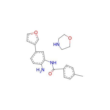 C1COCCN1.Cc1ccc(C(=O)Nc2cc(-c3ccoc3)ccc2N)cc1